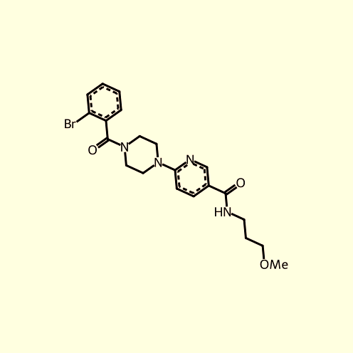 COCCCNC(=O)c1ccc(N2CCN(C(=O)c3ccccc3Br)CC2)nc1